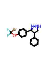 FC(F)(Br)Oc1ccc(C2=NNCC2c2ccccc2)cc1